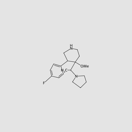 COC1([C](C)N2CCCC2)CCNCC1c1ccc(F)cc1